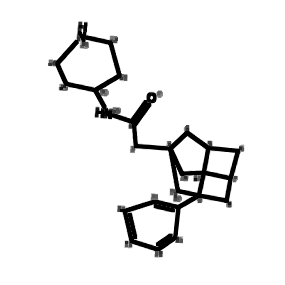 O=C(CC12CC3CC4CC(c5ccccc5)(C1)C34C2)NC1CCNCC1